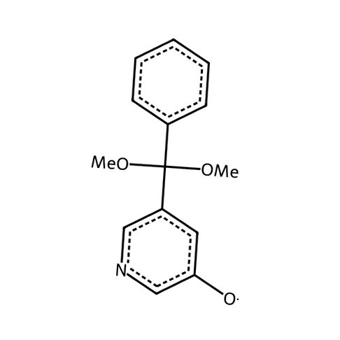 COC(OC)(c1ccccc1)c1cncc([O])c1